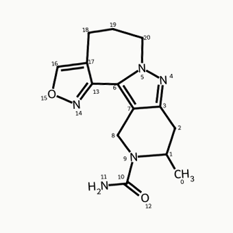 CC1Cc2nn3c(c2CN1C(N)=O)-c1nocc1CCC3